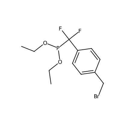 CCOP(OCC)C(F)(F)c1ccc(CBr)cc1